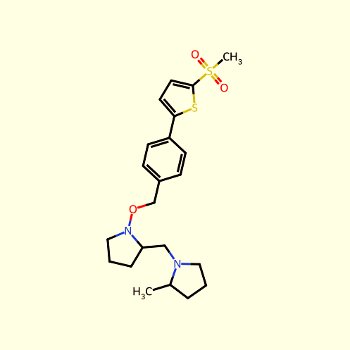 CC1CCCN1CC1CCCN1OCc1ccc(-c2ccc(S(C)(=O)=O)s2)cc1